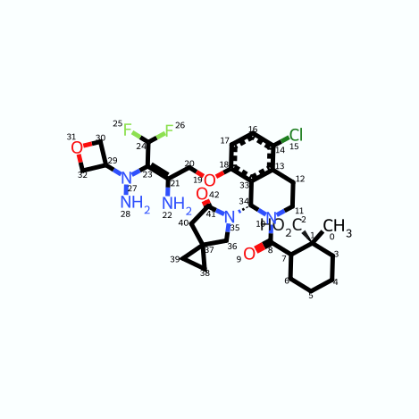 C[C@]1(C(=O)O)CCCCC1C(=O)N1CCc2c(Cl)ccc(OC/C(N)=C(\C(F)F)N(N)C3COC3)c2[C@H]1N1CC2(CC2)CC1=O